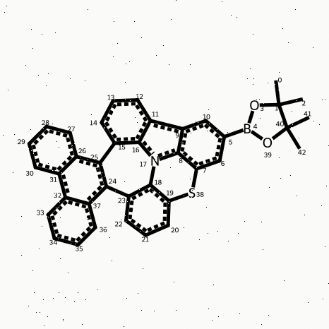 CC1(C)OB(c2cc3c4c(c2)c2cccc5c2n4-c2c(cccc2-c2c-5c4ccccc4c4ccccc24)S3)OC1(C)C